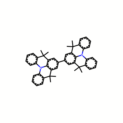 CC1(C)c2ccccc2N2c3ccccc3C(C)(C)c3cc(-c4cc5c6c(c4)C(C)(C)c4ccccc4N6c4ccccc4C5(C)C)cc1c32